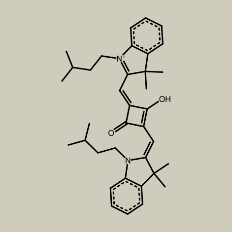 CC(C)CCN1/C(=C\C2=C(O)C(=C\C3=[N+](CCC(C)C)c4ccccc4C3(C)C)/C2=O)C(C)(C)c2ccccc21